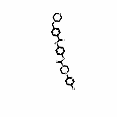 O=C(Nc1ccc(OC(=O)N2CCN(c3ccc(Cl)cn3)CC2)cc1)c1ccc(CN2CCOCC2)cc1